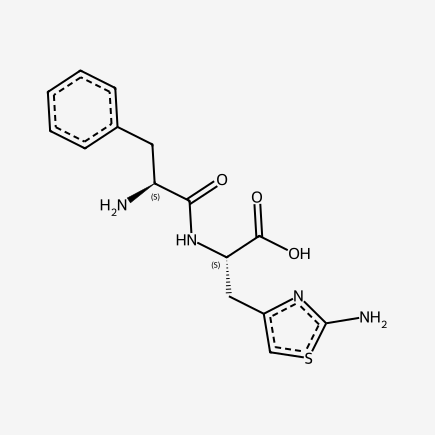 Nc1nc(C[C@H](NC(=O)[C@@H](N)Cc2ccccc2)C(=O)O)cs1